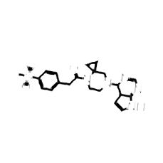 CS(=O)(=O)c1ccc(CC(=O)N2CCN(C3N=CN=C4NC=CC43)CC23CC3)cc1